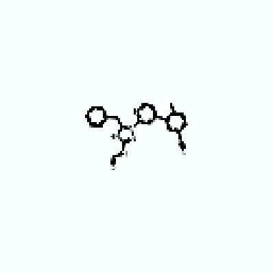 Cc1ccc(C#N)cc1-c1ccnc(N2N=C(NC=O)NC2Cc2ccccc2)c1